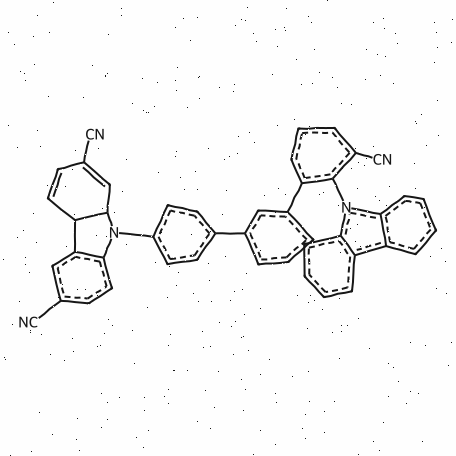 N#CC1=CC2C(C=C1)c1cc(C#N)ccc1N2c1ccc(-c2cccc(-c3cccc(C#N)c3-n3c4ccccc4c4ccccc43)c2)cc1